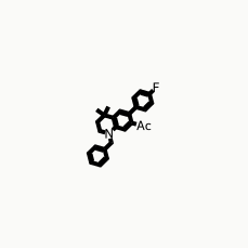 CC(=O)c1cc2c(cc1-c1ccc(F)cc1)C(C)(C)CCN2Cc1ccccc1